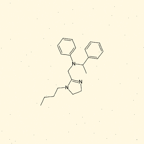 CCCCN1CCN=C1CN(c1ccccc1)C(C)c1ccccc1